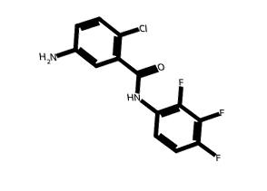 Nc1ccc(Cl)c(C(=O)Nc2ccc(F)c(F)c2F)c1